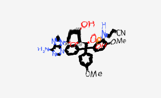 COc1ccc(C(c2ccccc2)(c2ccc(OC)cc2)C(OP(O)NCCC#N)[C@H]2O[C@@H](n3cnc4c(N)ncnc43)C[C@@H]2O)cc1